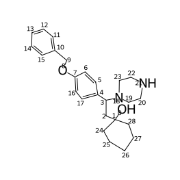 OC1(CC(c2ccc(OCc3ccccc3)cc2)N2CCNCC2)CCCCC1